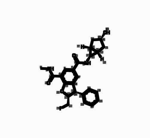 CNC(=O)c1cc(C(=O)N[C@H]2[C@@H]3C[C@H](O)C[C@@H]32)cc2c1O[C@H](CF)[C@H]2c1ccccc1